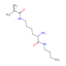 C=C(C)C(=O)NCCCCC(N)C(=O)NCCCC